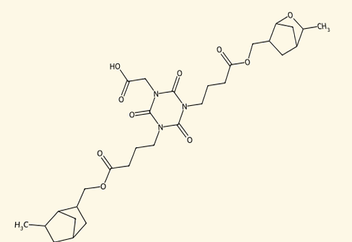 CC1CC2CC(COC(=O)CCCn3c(=O)n(CCCC(=O)OCC4CC5CC4OC5C)c(=O)n(CC(=O)O)c3=O)C1C2